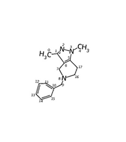 Cc1nn(C)c2c1CN(Cc1ccccc1)CC2